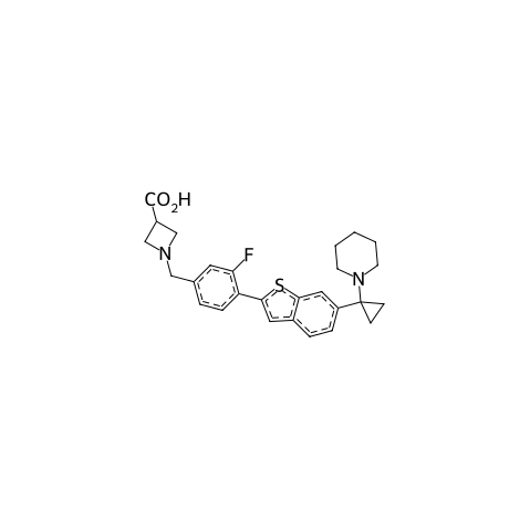 O=C(O)C1CN(Cc2ccc(-c3cc4ccc(C5(N6CCCCC6)CC5)cc4s3)c(F)c2)C1